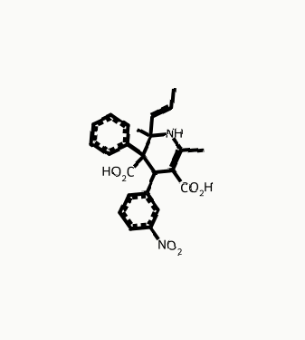 C/C=C/C1(C)NC(C)=C(C(=O)O)C(c2cccc([N+](=O)[O-])c2)C1(C(=O)O)c1ccccc1